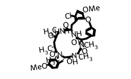 COc1ccc(C[C@H]2C(=O)N[C@@H](C)C(=O)N(C)[C@H]3Cc4ccc(cc4)Oc4cc(c(Cl)cc4OC)C[C@H](NC3=O)C(=O)N[C@H](C)C(=O)C[C@@H](C)C(=O)N2C)cc1